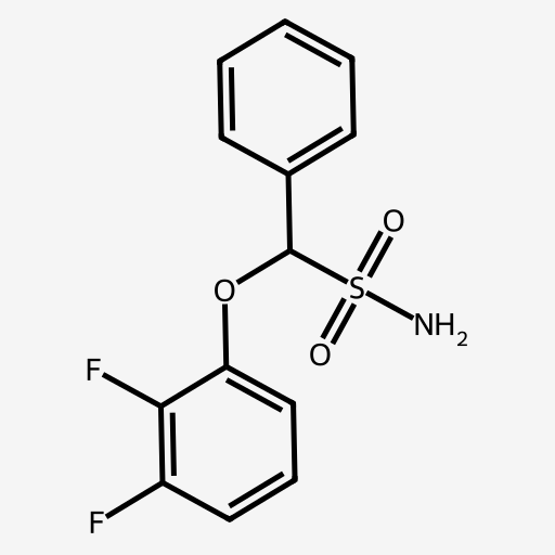 NS(=O)(=O)C(Oc1cccc(F)c1F)c1ccccc1